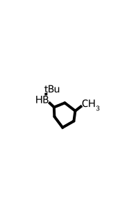 CC1CCCC(BC(C)(C)C)C1